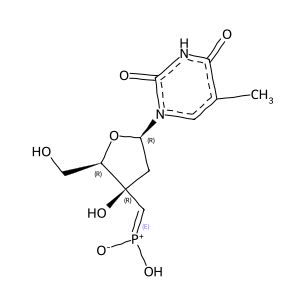 Cc1cn([C@H]2C[C@](O)(/C=[P+](\[O-])O)[C@@H](CO)O2)c(=O)[nH]c1=O